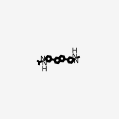 Cc1nc2ccc(-c3ccc4cc(-c5ccc6nc(C(C)C)[nH]c6c5)ccc4c3)cc2[nH]1